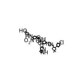 CC1(C)CCC(CN2CCN(c3ccc(C(=O)NS(=O)(=O)c4ccc(NC[C@@H]5CC[C@@H](O)C5)c([N+](=O)[O-])c4)c(Oc4cnc5[nH]ccc5c4)c3)CC2)=C(c2ccc(Cl)cc2)C1